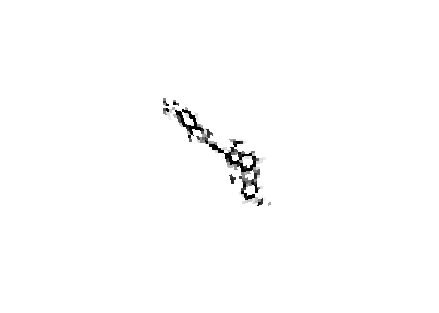 COc1cc(S(C)(=O)=O)ccc1NCC#Cc1cc2c(N[C@@H]3CC[C@H](N)C[C@H]3F)cccc2n1CC(F)(F)F